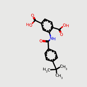 CC(C)(C)c1ccc(C(=O)Nc2cc(C(=O)O)ccc2C(=O)O)cc1